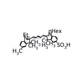 CCCCCCN1/C(=C/C=C/C=C/C2=[N+](CC)c3ccc(C)cc3C2(C)C)C(C)(C)c2cc(S(=O)(=O)O)ccc21